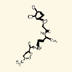 C=C(CCNC(=O)C1CCN(C)OO1)NC(=O)COc1ccc(Cl)c(Cl)c1